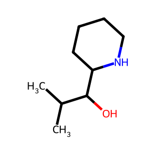 CC(C)C(O)C1CCCCN1